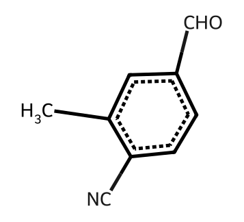 Cc1cc(C=O)ccc1C#N